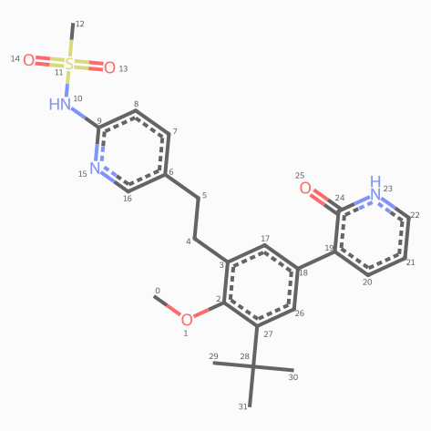 COc1c(CCc2ccc(NS(C)(=O)=O)nc2)cc(-c2ccc[nH]c2=O)cc1C(C)(C)C